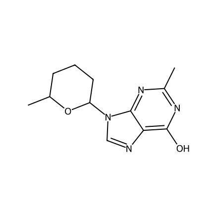 Cc1nc(O)c2ncn(C3CCCC(C)O3)c2n1